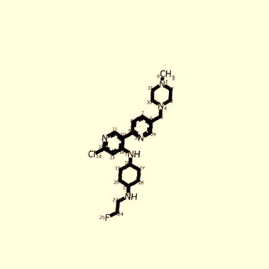 CN1CCN(Cc2ccc(-c3cnc(Cl)cc3NC3CCC(NCCF)CC3)nc2)CC1